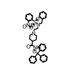 O=C(NOC(c1ccccc1)(c1ccccc1)c1ccccc1)C1CCN(CCN(Cc2ccccc2)S(=O)(=O)c2ccccc2[N+](=O)[O-])CC1